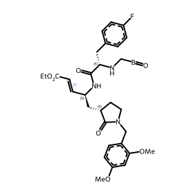 CCOC(=O)/C=C/[C@H](C[C@@H]1CCN(Cc2ccc(OC)cc2OC)C1=O)NC(=O)[C@H](Cc1ccc(F)cc1)NCB=O